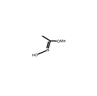 [CH2]C(=NO)OC